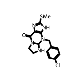 CSc1nc2c([nH]1)N(Cc1ccc(Cl)cc1)C1NCCN1C2=O